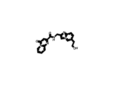 O=C(NCc1cn2cc(CCO)ccc2n1)c1cc(=O)n2ccccc2n1